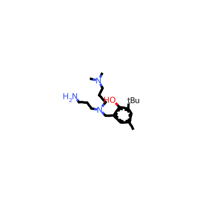 Cc1cc(CN(CCCN)CCCN(C)C)c(O)c(C(C)(C)C)c1